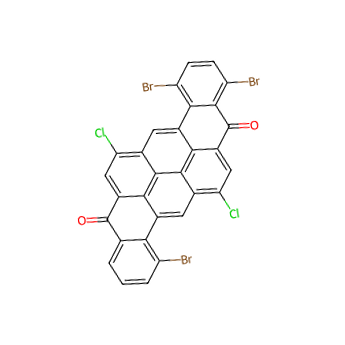 O=c1c2cccc(Br)c2c2cc3c(Cl)cc4c(=O)c5c(Br)ccc(Br)c5c5cc6c(Cl)cc1c2c6c3c45